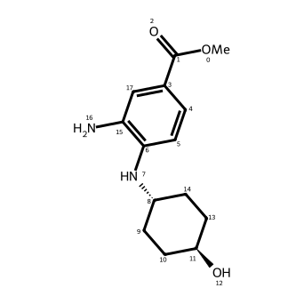 COC(=O)c1ccc(N[C@H]2CC[C@H](O)CC2)c(N)c1